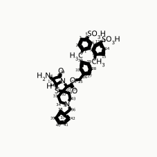 Cc1ccc(S(=O)(=O)O)cc1.Cc1ccc(S(=O)(=O)O)cc1.NC1C(=O)N2C(C(=O)OCc3ccccc3)C3(CCN(Cc4ccccc4)CC3)S[C@@H]12